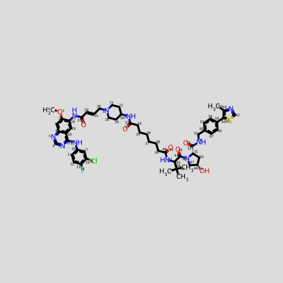 COc1cc2ncnc(Nc3ccc(F)c(Cl)c3)c2cc1NC(=O)/C=C/CN1CCC(NC(=O)CCCCCCC(=O)NC(C(=O)N2C[C@H](O)C[C@H]2C(=O)NCc2ccc(-c3scnc3C)cc2)C(C)(C)C)CC1